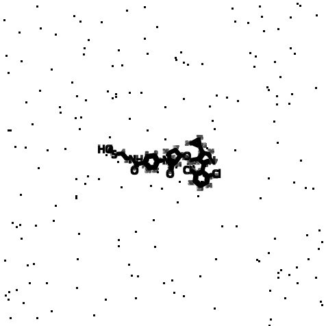 O=C(NCCSO)c1ccc(N2C(=O)C3CC2CC3OCC2=C(C3CC3)CN=C2c2c(Cl)cccc2Cl)cc1